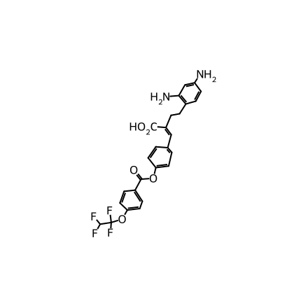 Nc1ccc(CCC(=Cc2ccc(OC(=O)c3ccc(OC(F)(F)C(F)F)cc3)cc2)C(=O)O)c(N)c1